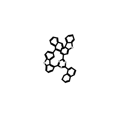 C1=Cc2cccc(-c3nc(-c4ccc5c(c4)oc4ccccc45)nc(-c4cccc5oc6ccc(-c7cccc8ccccc78)cc6c45)n3)c2CC1